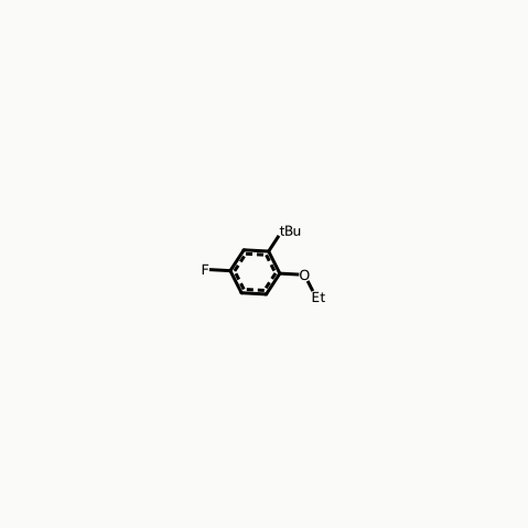 CCOc1ccc(F)cc1C(C)(C)C